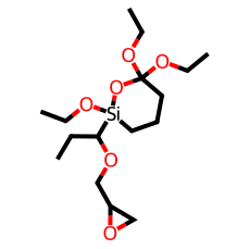 CCOC1(OCC)CCC[Si](OCC)(C(CC)OCC2CO2)O1